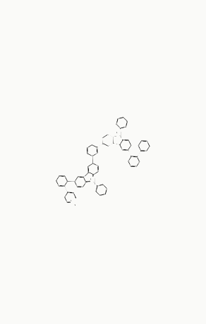 C1=CC2C(C=C1c1cccc(-c3ccc4c(c3)c3cc(-c5ccccc5-c5ccncc5)ccc3n4-c3ccccc3)c1)c1cc(-c3ccccc3-c3ccccc3)ccc1N2c1ccccc1